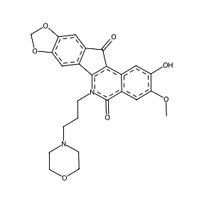 COc1cc2c(=O)n(CCCN3CCOCC3)c3c(c2cc1O)C(=O)c1cc2c(cc1-3)OCO2